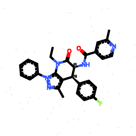 CCN1C(=O)[C@@H](NC(=O)c2ccnc(C)c2)[C@@H](c2ccc(F)cc2)c2c(C)nn(-c3ccccc3)c21